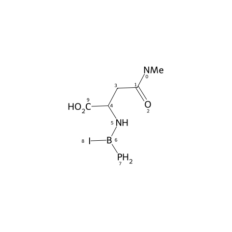 CNC(=O)CC(NB(P)I)C(=O)O